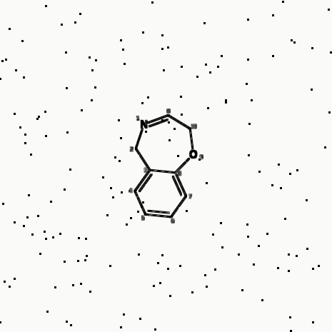 C1=NCc2ccccc2OC1